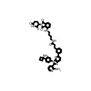 Nc1ncccc1-c1nc2ccc(-c3cccc(CCC(=O)NCCCCNc4cccc5c4C(=O)N(C4CCC(=O)NC4=O)C5=O)c3)nc2n1-c1ccc(C2(N)CCC2)cc1